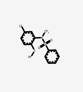 CC(C)Sc1ccc(Cl)cc1N(C(F)(F)F)S(=O)(=O)c1ccccc1